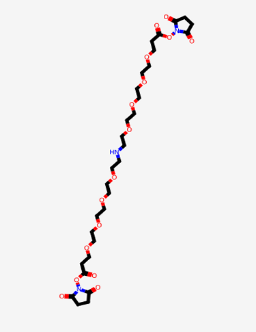 O=C(CCOCCOCCOCCOCCNCCOCCOCCOCCOCCC(=O)ON1C(=O)CCC1=O)ON1C(=O)CCC1=O